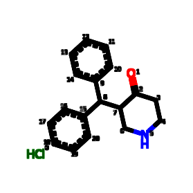 Cl.O=C1CCNCC1C(c1ccccc1)c1ccccc1